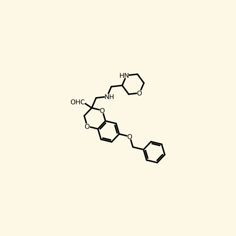 O=CC1(CNCC2COCCN2)COc2ccc(OCc3ccccc3)cc2O1